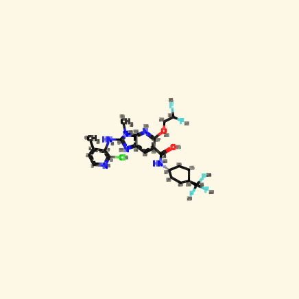 Cc1ccnc(Cl)c1Nc1nc2cc(C(=O)N[C@H]3CC[C@H](C(F)(F)F)CC3)c(OCC(F)F)nc2n1C